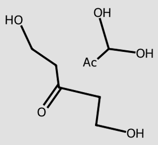 CC(=O)C(O)O.O=C(CCO)CCO